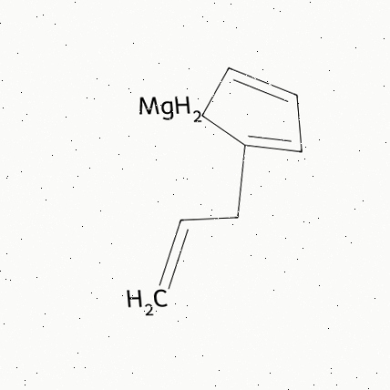 C=CCC1=CC=CC1.[MgH2]